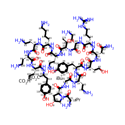 CC[C@H](C)[C@H](NC(=O)[C@@H]1C[C@@H](O)CN1C(=O)[C@@H](N)C(C)C)C(=O)N[C@@H](CCN)C(=O)N[C@@H](Cc1ccc(O)cc1)C(=O)N[C@@H](CCO)C(=O)N[C@@H](CC(N)=O)C(=O)N[C@@H](CCCNC(=N)N)C(=O)N[C@@H](CCN)C(=O)N[C@H](C(=O)N[C@H](CCN)C(=O)N[C@@H](CCCCN)C(=O)N[C@@H](CCN)C(=O)N[C@@H](CCN)C(=O)N[C@@H](CCC(=O)O)C(=O)N[C@@H](Cc1ccc(O)cc1)C(=O)O)[C@@H](C)O